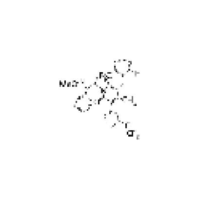 CO/N=C(\c1ccccc1)C1CSc2c(Cc3c(F)cccc3C(F)(F)F)c(C)c(-c3cccc(OC(F)(F)F)c3)c(=O)n21